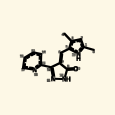 Cc1cc(C)c(C=C2C(=O)NN=C2c2ccccn2)[nH]1